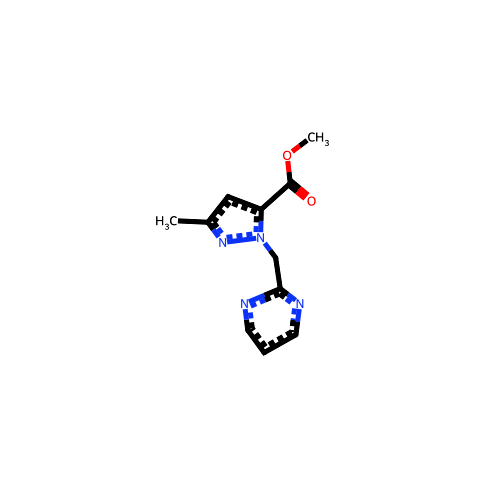 COC(=O)c1cc(C)nn1Cc1ncccn1